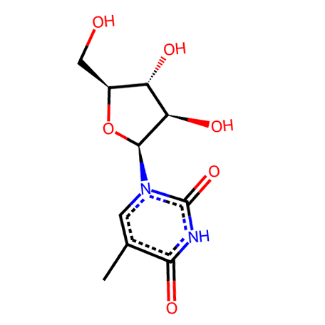 Cc1cn([C@H]2O[C@@H](CO)[C@H](O)[C@H]2O)c(=O)[nH]c1=O